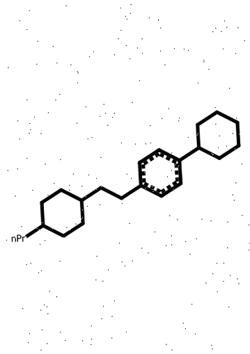 CCCC1CCC(CCc2ccc(C3CCCCC3)cc2)CC1